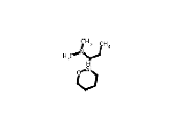 CCC(N(C)C)[SiH]1CCCCO1